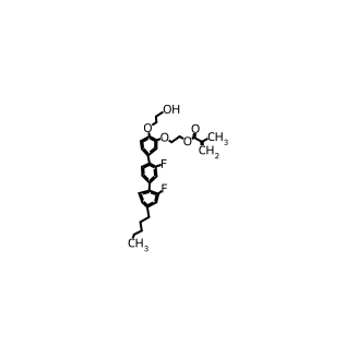 C=C(C)C(=O)OCCOc1cc(-c2ccc(-c3ccc(CCCCC)cc3F)cc2F)ccc1OCCO